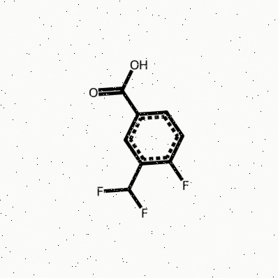 O=C(O)c1ccc(F)c(C(F)F)c1